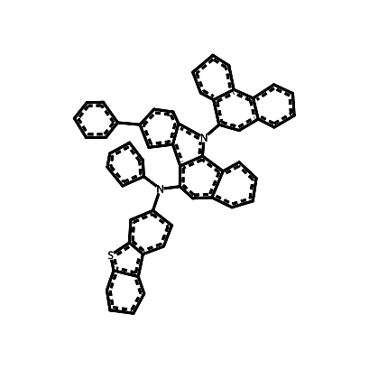 c1ccc(-c2ccc3c(c2)c2c(N(c4ccccc4)c4ccc5c(c4)sc4ccccc45)cc4ccccc4c2n3-c2cc3ccccc3c3ccccc23)cc1